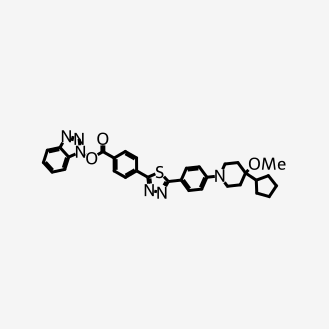 COC1(C2CCCC2)CCN(c2ccc(-c3nnc(-c4ccc(C(=O)On5nnc6ccccc65)cc4)s3)cc2)CC1